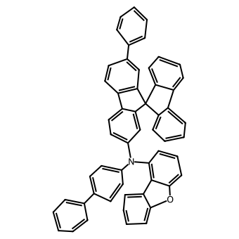 c1ccc(-c2ccc(N(c3ccc4c(c3)C3(c5ccccc5-c5ccccc53)c3cc(-c5ccccc5)ccc3-4)c3cccc4oc5ccccc5c34)cc2)cc1